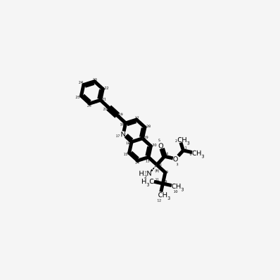 CC(C)OC(=O)[C@@](N)(CC(C)(C)C)c1ccc2nc(C#Cc3ccccc3)ccc2c1